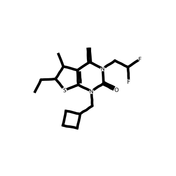 C=C1C2=C(SC(CC)C2C)N(CC2CCC2)C(=O)N1CC(F)F